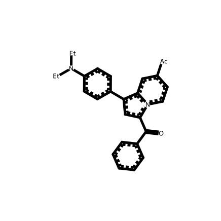 CCN(CC)c1ccc(-c2cc(C(=O)c3ccccc3)n3ccc(C(C)=O)cc23)cc1